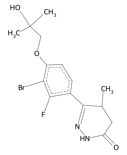 CC1CC(=O)NN=C1c1ccc(OCC(C)(C)O)c(Br)c1F